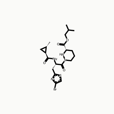 CC(C)COC(=O)[C@@H]1CCCN(C(=O)[C@H](Cc2nc(Br)cs2)NC(=O)[C@H]2C[C@@H]2C)N1